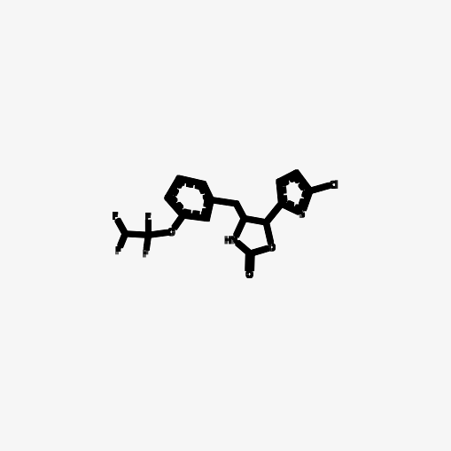 O=C1NC(Cc2cccc(OC(F)(F)C(F)F)c2)C(c2ccc(Cl)s2)O1